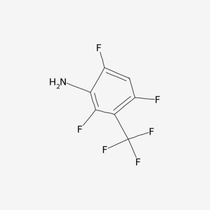 Nc1c(F)cc(F)c(C(F)(F)F)c1F